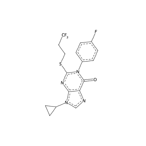 O=c1c2ncn(C3CC3)c2nc(SCCC(F)(F)F)n1-c1ccc(F)cc1